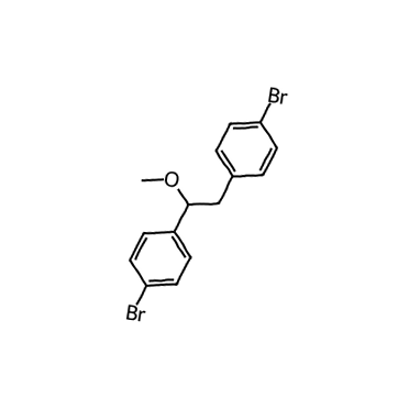 COC(Cc1ccc(Br)cc1)c1ccc(Br)cc1